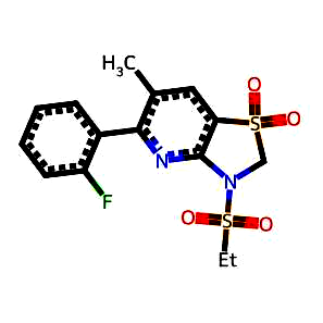 CCS(=O)(=O)N1CS(=O)(=O)c2cc(C)c(-c3ccccc3F)nc21